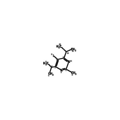 Cc1nc(C(C)C)c(I)c(C(C)C)n1